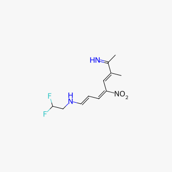 CC(=N)/C(C)=C/C(=C\C=C\NCC(F)F)[N+](=O)[O-]